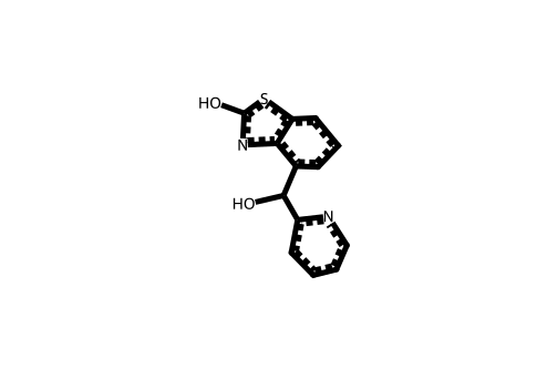 Oc1nc2c(C(O)c3ccccn3)cccc2s1